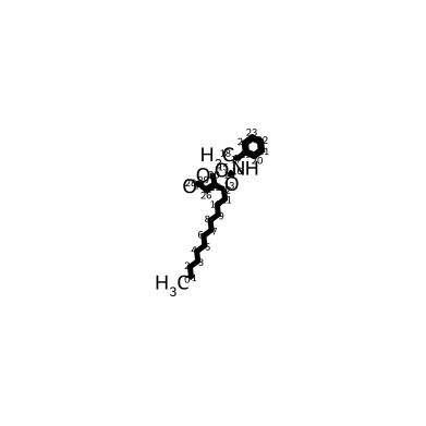 CCCCCCCCCCCCC(OC(=O)NC(C)c1ccccc1)C1=CC(=O)OC1